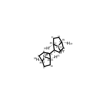 CC(C)N1[C@@H]2CCC(C3CC[C@@H]4CC[C@H]3N4C(C)C)[C@H]1CC2